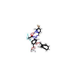 COC(=O)c1ccc(N(Cc2ccc(Br)cn2)C(=O)C(F)(F)F)cc1OCc1ccccc1